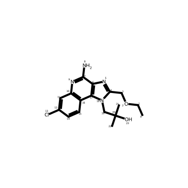 CCOCc1nc2c(N)nc3cc(Cl)ccc3c2n1CC(C)(C)O